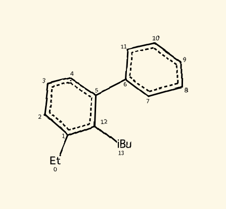 CCc1cc[c]c(-c2ccccc2)c1C(C)CC